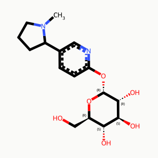 CN1CCCC1c1ccc(O[C@H]2O[C@H](CO)[C@@H](O)[C@H](O)[C@H]2O)nc1